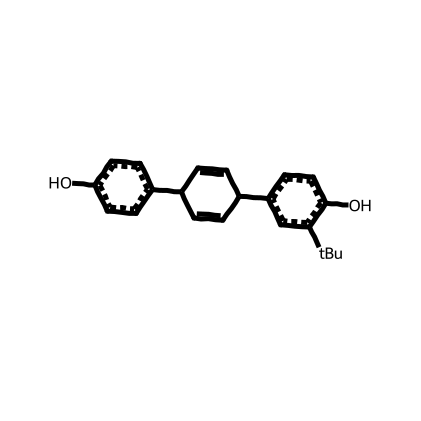 CC(C)(C)c1cc(C2C=CC(c3ccc(O)cc3)C=C2)ccc1O